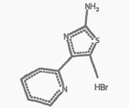 Br.Cc1sc(N)nc1-c1ccccn1